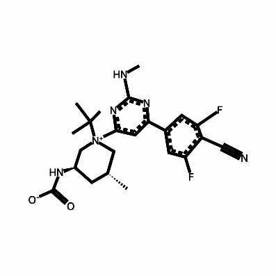 CNc1nc(-c2cc(F)c(C#N)c(F)c2)cc([N+]2(C(C)(C)C)C[C@H](C)C[C@@H](NC(=O)[O-])C2)n1